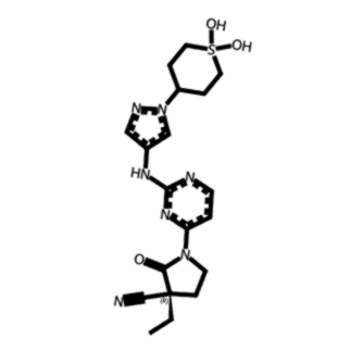 CC[C@]1(C#N)CCN(c2ccnc(Nc3cnn(C4CCS(O)(O)CC4)c3)n2)C1=O